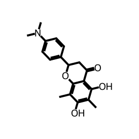 Cc1c(O)c(C)c2c(c1O)C(=O)CC(c1ccc(N(C)C)cc1)O2